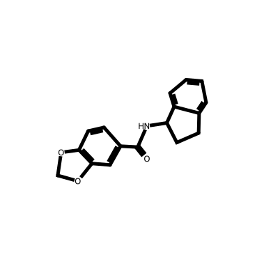 O=C(NC1CCc2ccccc21)c1ccc2c(c1)OCO2